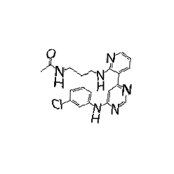 CC(=O)NCCCNc1ncccc1-c1cc(Nc2cccc(Cl)c2)ncn1